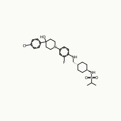 CC(C)S(=O)(=O)N[C@H]1CC[C@H](CNc2ccc(N3CCC(O)(c4ccc(Cl)cc4)CC3)cc2F)CC1